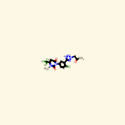 CC(=O)Cn1nnc(-c2cc(-n3c(=O)cc(C(F)(F)F)n(C)c3=O)ccc2Cl)n1